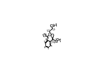 CC(C)C(=O)c1ccccc1C(=O)OCCO